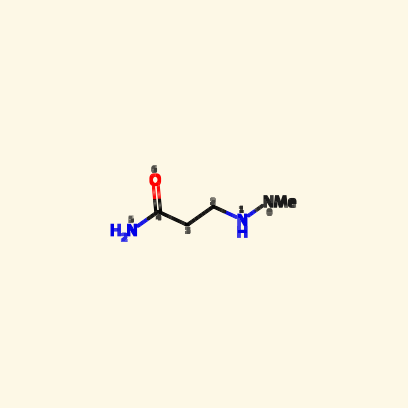 CNNCCC(N)=O